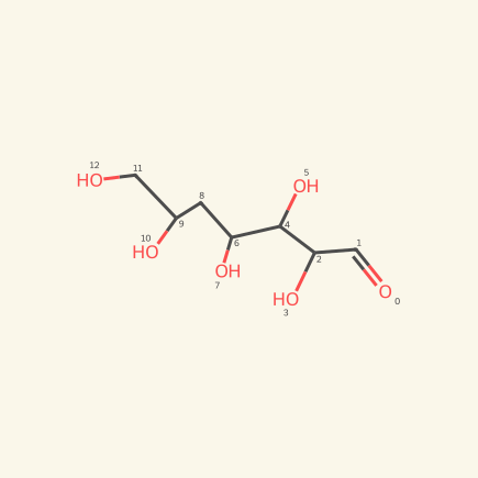 O=CC(O)C(O)C(O)CC(O)CO